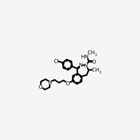 CNC(=O)N1N=C(c2ccc(Cl)cc2)c2cc(OCCCN3CCOCC3)ccc2CC1C